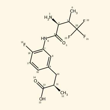 CC([C@H](N)C(=O)Nc1cc(C[C@@H](C)C(=O)O)ccc1F)C(F)(F)F